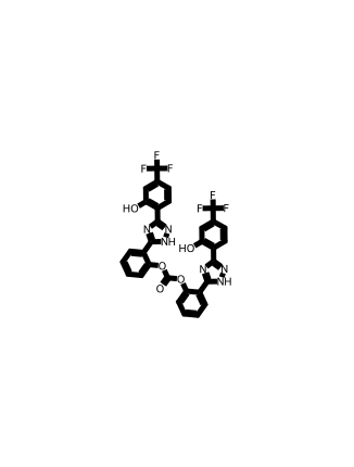 O=C(Oc1ccccc1-c1nc(-c2ccc(C(F)(F)F)cc2O)n[nH]1)Oc1ccccc1-c1nc(-c2ccc(C(F)(F)F)cc2O)n[nH]1